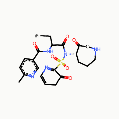 Cc1ccc(C(=O)NC(CC(C)C)C(=O)N([C@H]2CCCNCC2=O)S(=O)(=O)C2=NC=CCC2=O)cn1